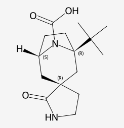 CC(C)(C)[C@@]12CC[C@@H](C[C@]3(CCNC3=O)C1)N2C(=O)O